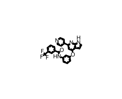 O=C(Nc1cccc(Oc2cc(-c3ccncc3)nc3[nH]ccc23)c1)c1cccc(C(F)(F)F)c1